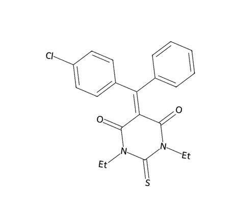 CCN1C(=O)C(=C(c2ccccc2)c2ccc(Cl)cc2)C(=O)N(CC)C1=S